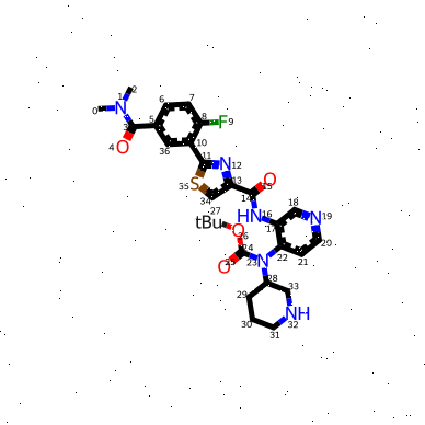 CN(C)C(=O)c1ccc(F)c(-c2nc(C(=O)Nc3cnccc3N(C(=O)OC(C)(C)C)C3CCCNC3)cs2)c1